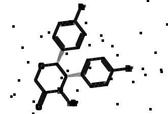 CCCN1C(=O)CO[C@H](c2ccc(Br)cc2)[C@@H]1c1ccc(Br)cc1